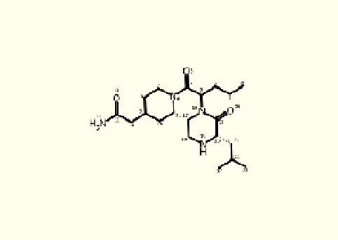 CCCC(C(=O)N1CCC(CC(N)=O)CC1)N1CCN[C@@H](CC(C)C)C1=O